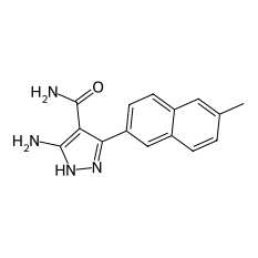 Cc1ccc2cc(-c3n[nH]c(N)c3C(N)=O)ccc2c1